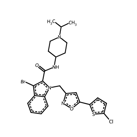 CC(C)N1CCC(NC(=O)c2c(Br)c3ccccc3n2Cc2cc(-c3ccc(Cl)s3)on2)CC1